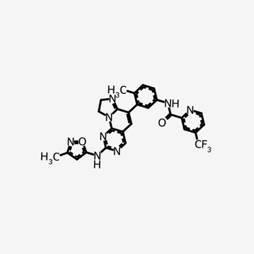 Cc1cc(Nc2ncc3c(n2)N2CCN=C2C(c2cc(NC(=O)c4cc(C(F)(F)F)ccn4)ccc2C)=C3)on1